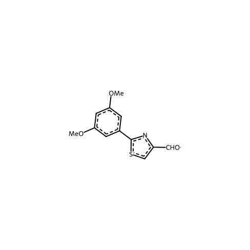 COc1cc(OC)cc(-c2nc([C]=O)cs2)c1